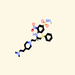 CN(C)CCC1CCN(CC[C@H](CSc2ccccc2)Nc2ccc(S(N)(=O)=O)cc2[N+](=O)[O-])CC1